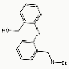 CCNCc1ccccc1Sc1ccccc1CO